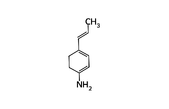 C/C=C/C1=CC=C(N)CC1